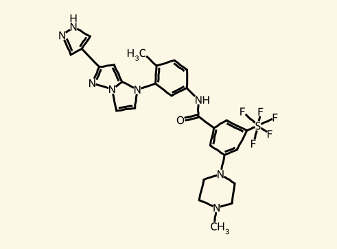 Cc1ccc(NC(=O)c2cc(N3CCN(C)CC3)cc(S(F)(F)(F)(F)F)c2)cc1-n1ccn2nc(-c3cn[nH]c3)cc12